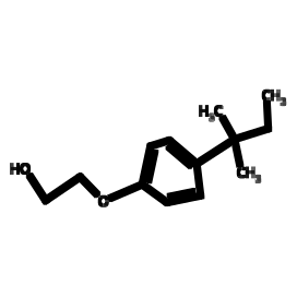 CCC(C)(C)c1ccc(OCCO)cc1